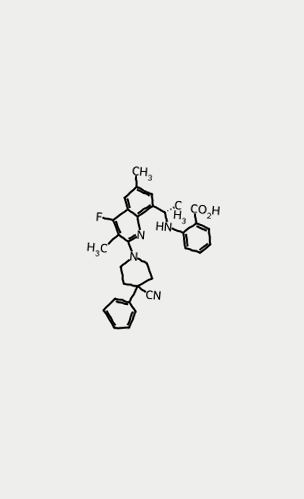 Cc1cc([C@H](C)Nc2ccccc2C(=O)O)c2nc(N3CCC(C#N)(c4ccccc4)CC3)c(C)c(F)c2c1